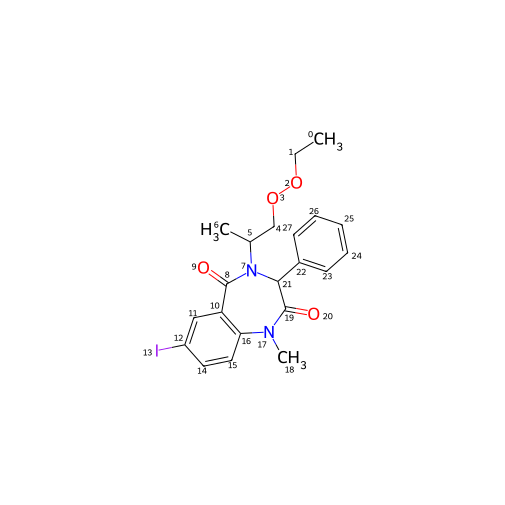 CCOOCC(C)N1C(=O)c2cc(I)ccc2N(C)C(=O)C1c1ccccc1